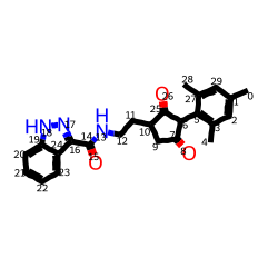 Cc1cc(C)c(C2C(=O)CC(CCNC(=O)c3n[nH]c4ccccc34)C2=O)c(C)c1